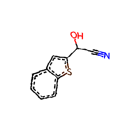 N#CC(O)c1cc2ccccc2s1